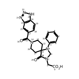 O=C(O)CN1CN(c2ccccc2)C2(CCN(C(=O)c3ccc4[nH]nnc4c3)CC2)C1=O